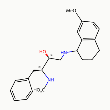 COc1ccc2c(c1)C(NC[C@H](O)[C@H](Cc1ccccc1)NC(=O)O)CCC2